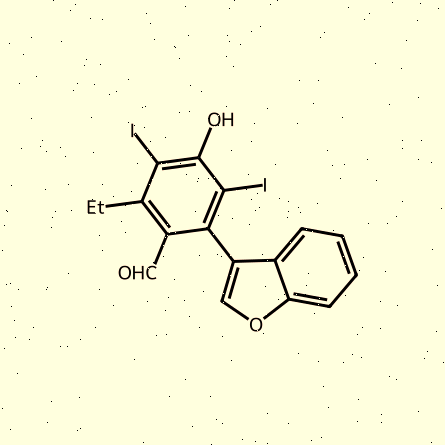 CCc1c(I)c(O)c(I)c(-c2coc3ccccc23)c1C=O